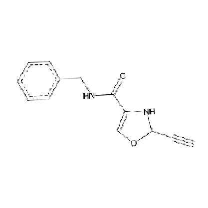 C#CC1NC(C(=O)NCc2ccccc2)=CO1